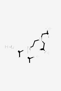 CC(=O)O.CC(=O)O.NCCN(CC(=O)O)CC(=O)O.O.O